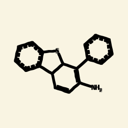 NC1=C(c2ccccc2)C2Sc3ccccc3C2C=C1